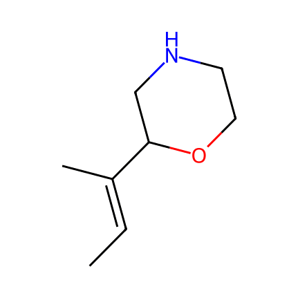 CC=C(C)C1CNCCO1